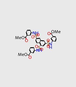 COC(=O)c1cccc(NS(=O)(=O)c2ccc3c(S(=O)(=O)Nc4cccc(C(=O)OC)c4)cc(S(=O)(=O)Nc4cccc(C(=O)OC)c4)cc3c2)c1